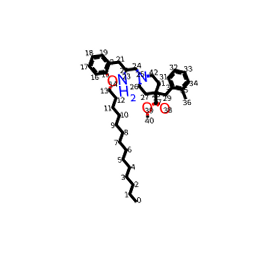 CCCCCCCCCCCCCCOc1ccccc1C[C@@H](N)CN1CCC(Cc2ccccc2C)(C(=O)OC)CC1